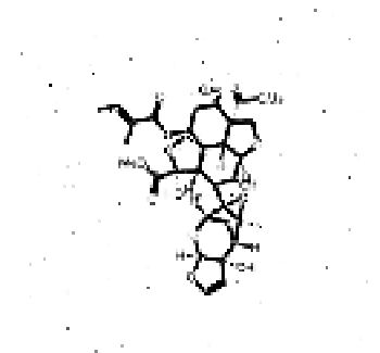 C/C=C(\C)C(=O)O[C@H]1C[C@@H](OC(C)=O)[C@@]2(C(=O)OC)CO[C@H]3[C@@H](O)[C@@](C)([C@]45O[C@@]4(C)[C@H]4C[C@@H]5O[C@@H]5OC=C[C@@]54O)[C@H]4[C@]1(CO[C@]4(O)C(=O)OC)[C@@H]32